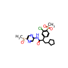 C[S+]([O-])c1cnc(NC(=O)C(CC2CCCC2)c2ccc(S(C)(=O)=O)c(Cl)c2)cn1